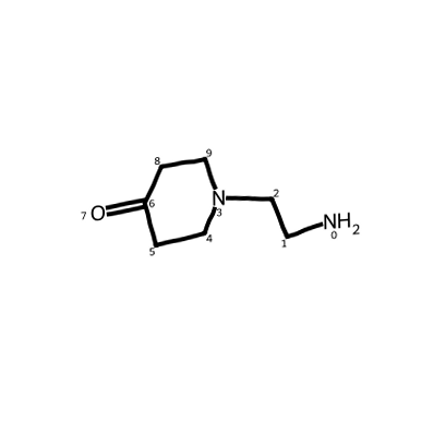 NCCN1CCC(=O)CC1